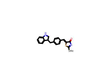 CSC1=NC(=O)C(=Cc2ccc(CC3CNc4ccccc43)cc2)S1